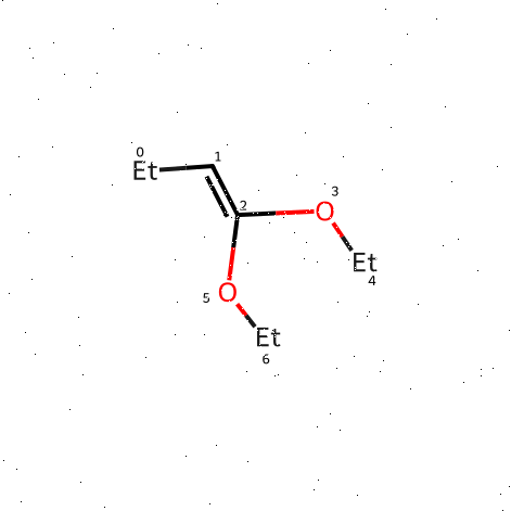 CCC=C(OCC)OCC